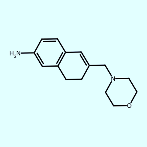 Nc1ccc2c(c1)CCC(CN1CCOCC1)=C2